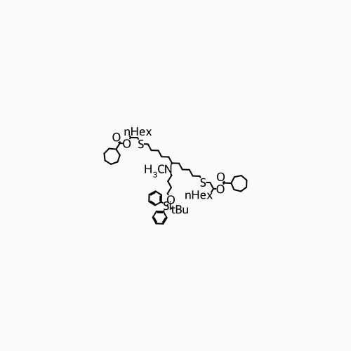 CCCCCCC(CSCCCCCC(CCCCCSCC(CCCCCC)OC(=O)C1CCCCCC1)N(C)CCCCO[Si](c1ccccc1)(c1ccccc1)C(C)(C)C)OC(=O)C1CCCCCC1